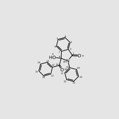 O=C1c2ccccc2C(O)(C(=O)c2ccccc2)N1c1ccccc1